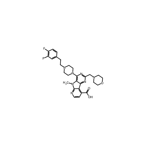 Cn1c2nccc(C(=O)O)c2c2nc(CN3CCOCC3)nc(N3CCN(CCc4ccc(F)c(F)c4)CC3)c21